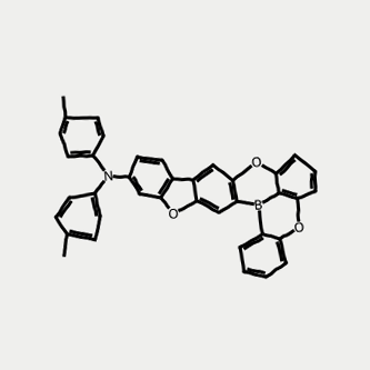 Cc1ccc(N(c2ccc(C)cc2)c2ccc3c(c2)oc2cc4c(cc23)Oc2cccc3c2B4c2ccccc2O3)cc1